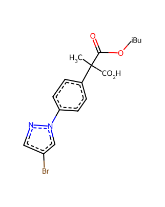 CCC(C)OC(=O)C(C)(C(=O)O)c1ccc(-n2cc(Br)cn2)cc1